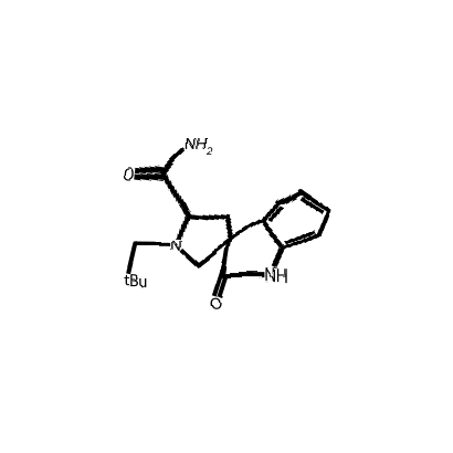 CC(C)(C)CN1CC2(CC1C(N)=O)C(=O)Nc1ccccc12